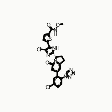 CONC(=O)c1ccc(-c2[nH]c([C@@H]3CCc4cc(-c5cc(Cl)ccc5-n5cnnn5)cc(=O)n43)nc2Cl)s1